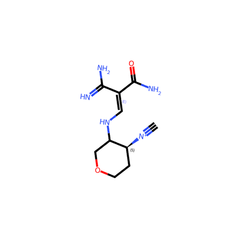 C#[N+][C@H]1CCOCC1N/C=C(\C(=N)N)C(N)=O